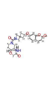 O=C1CO[C@H]2CCN(C(=O)N3CC4(CC(Oc5ccc6ccc(=O)oc6c5)C4)C3)C[C@H]2N1